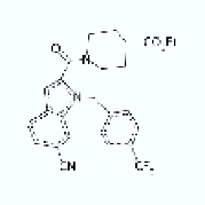 CCOC(=O)C1CCN(C(=O)c2cc3ccc(C#N)cc3n2Cc2ccc(C(F)(F)F)cc2)CC1